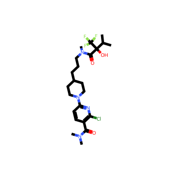 CC(C)C(O)(C(=O)N(C)CCCC1CCN(c2ccc(C(=O)N(C)C)c(Cl)n2)CC1)C(F)(F)F